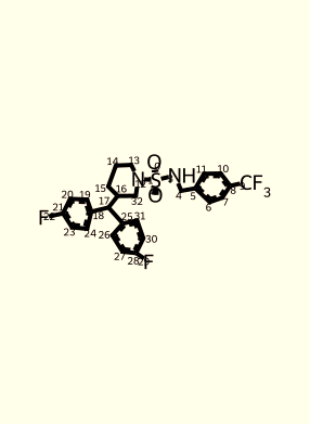 O=S(=O)(NCc1ccc(C(F)(F)F)cc1)N1CCCC(C(c2ccc(F)cc2)c2ccc(F)cc2)C1